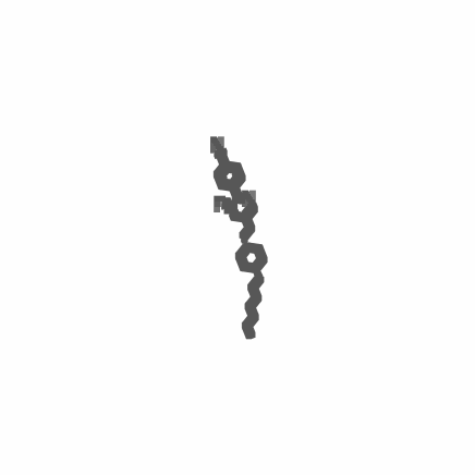 CCCCCCC[C@H]1CC[C@H](CCC2=CN=C(c3ccc(C#N)cc3)N(F)C2)CC1